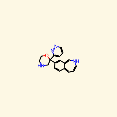 C1=CNC=c2cc(C3(c4cccnn4)CNCCO3)ccc2=C1